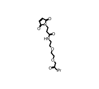 CC(C)C(=O)COCCOCCNC(=O)CCN1C(=O)C=CC1=O